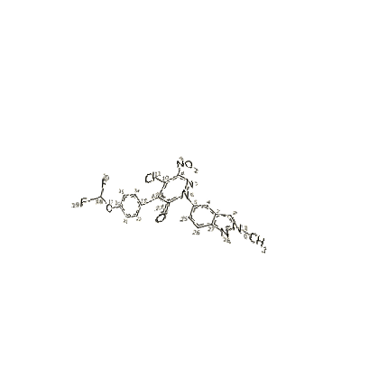 Cn1cc2cc(-n3nc([N+](=O)[O-])c(Cl)c(-c4ccc(OC(F)F)cc4)c3=O)ccc2n1